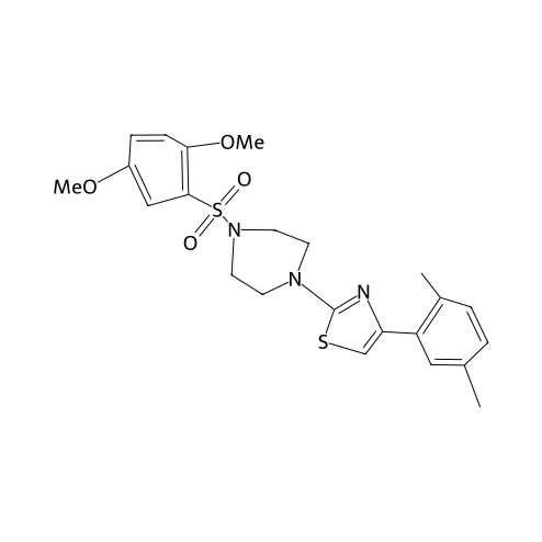 COc1ccc(OC)c(S(=O)(=O)N2CCN(c3nc(-c4cc(C)ccc4C)cs3)CC2)c1